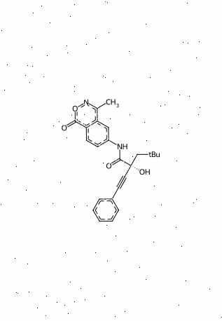 Cc1noc(=O)c2ccc(NC(=O)[C@](O)(C#Cc3ccccc3)CC(C)(C)C)cc12